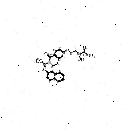 CC(Oc1ccc2ccccc2c1)N1CCc2cc(OCCN(O)C(N)=O)ccc2C1=O